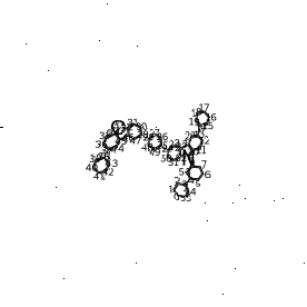 c1ccc(-c2cccc(-n3c4ccc(-c5ccccc5)cc4c4cc(-c5ccc(-c6ccc7oc8ccc(-c9ccccc9)cc8c7c6)cc5)ccc43)c2)cc1